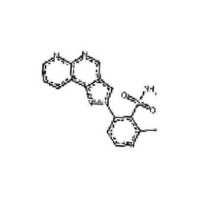 Cc1nccc(-n2cc3cnc4ncccc4c3n2)c1S(N)(=O)=O